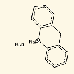 [NaH].[NaH].c1ccc2c(c1)Cc1ccccc1O2